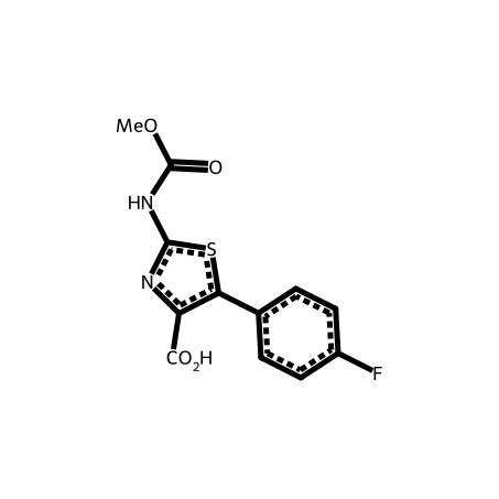 COC(=O)Nc1nc(C(=O)O)c(-c2ccc(F)cc2)s1